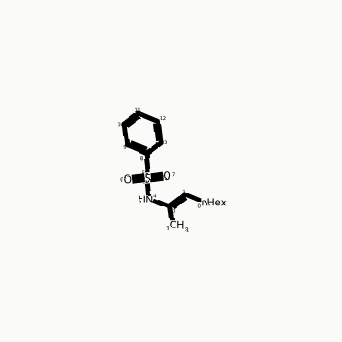 CCCCCCC=C(C)NS(=O)(=O)c1ccccc1